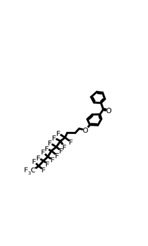 O=C(c1ccccc1)c1ccc(OCCCC(F)(F)C(F)(F)C(F)(F)C(F)(F)C(F)(F)C(F)(F)C(F)(F)C(F)(F)F)cc1